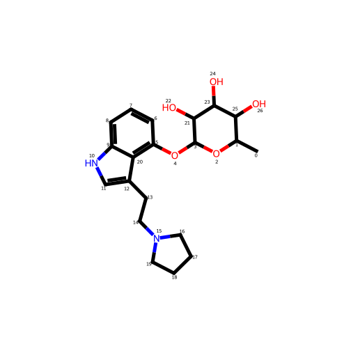 CC1OC(Oc2cccc3[nH]cc(CCN4CCCC4)c23)C(O)C(O)C1O